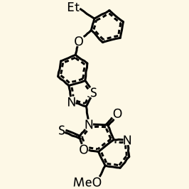 CCc1ccccc1Oc1ccc2nc(-n3c(=S)oc4c(OC)ccnc4c3=O)sc2c1